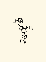 Nc1nc(-c2ccc(C(F)F)o2)nc2sc(Cc3ncccc3Cl)cc12